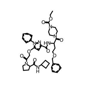 CCOC(=O)N1CCN(C(=O)C(CCOCc2ccccc2)NC(=O)c2cc(OCC(=O)N3CCCC3C(=O)NC3CCC3)n(-c3ccccc3)n2)CC1